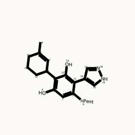 CCCCCc1cc(O)c(C2C=C(C)CCC2)c(O)c1-c1cn[nH]c1